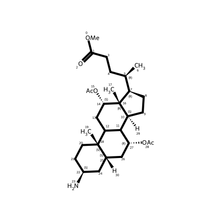 COC(=O)CC[C@@H](C)[C@H]1CC[C@H]2C3C(C[C@H](OC(C)=O)[C@]12C)[C@@]1(C)CC[C@H](N)C[C@H]1C[C@H]3OC(C)=O